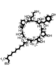 CCC(C)CC(C)CCCCCCCCC(=O)NC1C[C@@H](O)[C@@H](O)NC(=O)[C@@H]2CCCN2C(=O)C([C@H](O)CCN)NC(=O)[C@H]([C@H](O)[C@@H](O)c2ccc(O)cc2)NC(=O)C2C[C@@H](O)CN2C(=O)C([C@@H](C)O)NC1=O